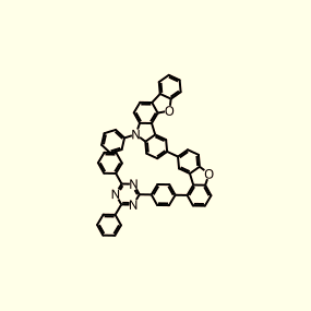 c1ccc(-c2nc(-c3ccccc3)nc(-c3ccc(-c4cccc5oc6ccc(-c7ccc8c(c7)c7c9oc%10ccccc%10c9ccc7n8-c7ccccc7)cc6c45)cc3)n2)cc1